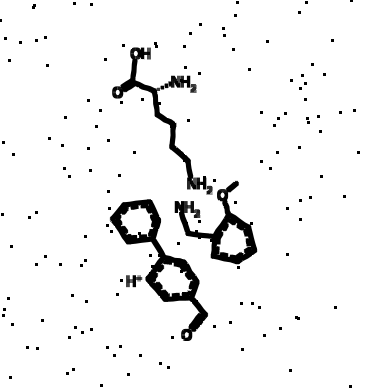 COc1ccccc1CN.NCCCC[C@@H](N)C(=O)O.O=Cc1ccc(-c2ccccc2)cc1.[H+]